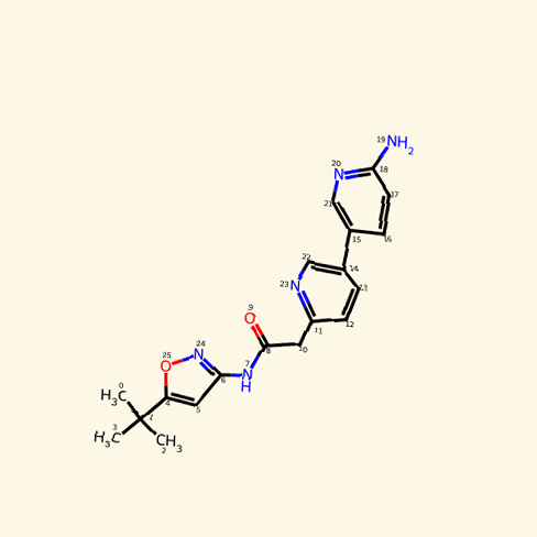 CC(C)(C)c1cc(NC(=O)Cc2ccc(-c3ccc(N)nc3)cn2)no1